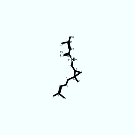 CC(C)=CCCC1(C)CC1CNC(=O)C=C(C)C